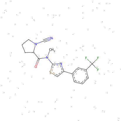 CN(C(=O)C1CCCN1C#N)c1nc(-c2cccc(C(F)(F)F)c2)cs1